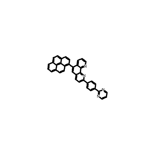 c1cnc(-c2ccc(-c3ccc4cc(-c5ccc6ccc7cccc8ccc5c6c78)c5cccnc5c4n3)cc2)nc1